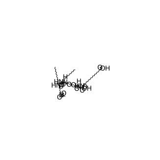 CCCCCCCCCCCCC(NC(=O)CCCCCN1C(=O)CC(C)C1=O)C(=O)NC(CCCCCCCCCCCC)C(=O)NCCOCCOCCC(=O)NCC(NC(=O)CCCCCCCCCCCCCCCCC(=O)O)C(=O)O